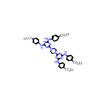 CCOC(=O)c1ccc(Nc2nc(Nc3ccc(C(=O)OCC)cc3)nc(N3CCN(c4nc(Nc5ccc(C(=O)OCC)cc5)nc(Nc5ccc(C(=O)OCC)cc5)n4)CC3)n2)cc1